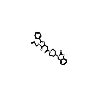 C=CCN1C(=O)C(CC(=O)N2CCC(N3Cc4ccccc4NC3=O)CC2)SC1c1ccccc1